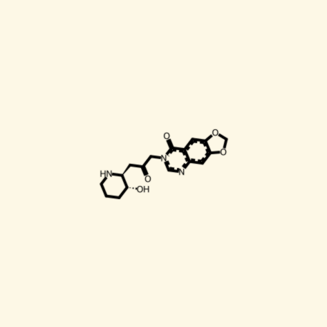 O=C(C[C@@H]1NCCC[C@H]1O)Cn1cnc2cc3c(cc2c1=O)OCO3